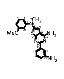 COc1cccc(N(C)c2cc3c(N)nc(-c4cccc(N)c4)nc3s2)c1